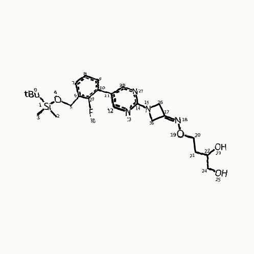 CC(C)(C)[Si](C)(C)OCc1cccc(-c2cnc(N3CC(=NOCCC(O)CO)C3)nc2)c1F